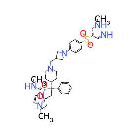 CCC[C@H](CC(Cn1ccnc1)(c1ccccc1)C1CCN(CC2CN(c3ccc(S(=O)(=O)/C(C=N)=C/NC)cc3)C2)CC1)OC(=O)NC